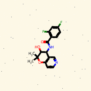 CC1(C)Oc2ccncc2C(NC(=O)c2ccc(F)cc2F)C1O